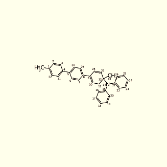 Cc1ccc(-c2ccc(C3=CCC(C)(N(c4ccccc4)c4ccccc4)C=C3)cc2)cc1